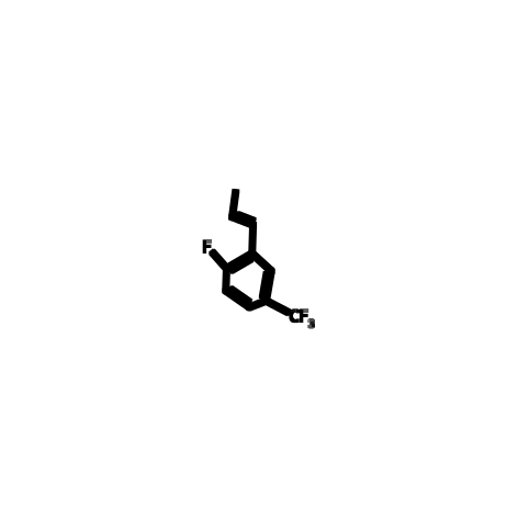 C/C=C/c1cc(C(F)(F)F)ccc1F